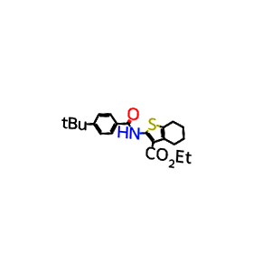 CCOC(=O)c1c(NC(=O)c2ccc(C(C)(C)C)cc2)sc2c1CCCC2